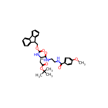 COc1ccc(C(=O)NCCNC(=O)[C@@H](CC(=O)OC(C)(C)C)NC(=O)OCC2c3ccccc3-c3ccccc32)cc1